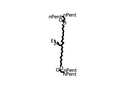 CCCCCC(CCCCC)CC(=O)OCCCCCCCCCCC(CCCCCCCCCCOC(=O)CC(CCCCC)CCCCC)CCN(C)CC